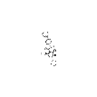 O=C(Nc1ccc(N2CCCCC2)cc1)C1=C(O)CC(C2CCCCC2)NC1=O